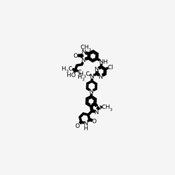 CN(c1ncc(Cl)c(Nc2ccc3c(c2)n(CCC(C)(C)O)c(=O)n3C)n1)C1CCN(c2ccc3c(C4CCC(=O)NC4=O)nn(C)c3c2)CC1